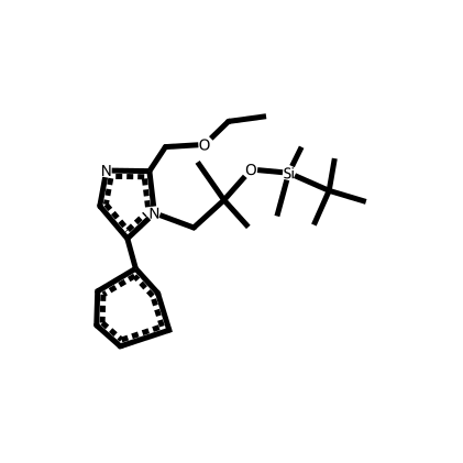 CCOCc1ncc(-c2ccccc2)n1CC(C)(C)O[Si](C)(C)C(C)(C)C